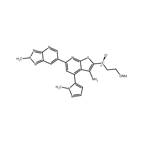 COCC[S@+]([O-])c1sc2nc(-c3cnc4nn(C)nc4c3)cc(-c3ccnn3C)c2c1N